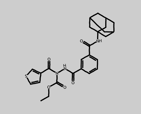 CCOC(=O)N(NC(=O)c1cccc(C(=O)NC23CC4CC(CC(C4)C2)C3)c1)C(=O)c1ccsc1